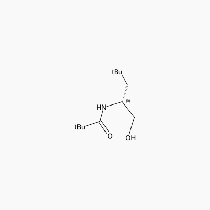 CC(C)(C)C[C@H](CO)NC(=O)C(C)(C)C